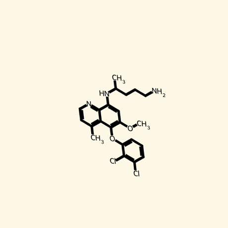 COc1cc(NC(C)CCCN)c2nccc(C)c2c1Oc1cccc(Cl)c1Cl